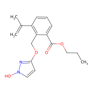 C=C(C)c1cccc(C(=O)OCCC)c1COc1ccn(O)n1